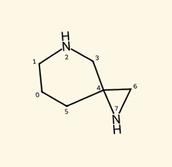 C1CNCC2(C1)CN2